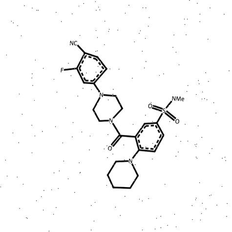 CNS(=O)(=O)c1ccc(N2CCCCC2)c(C(=O)N2CCN(c3ccc(C#N)c(F)c3)CC2)c1